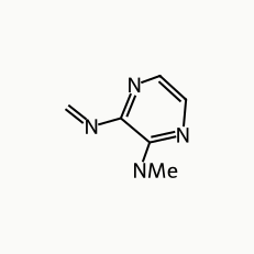 C=Nc1nccnc1NC